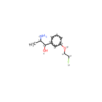 CC(N)C(O)c1cccc(OCCF)c1